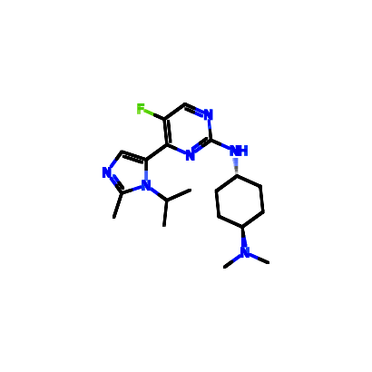 Cc1ncc(-c2nc(N[C@H]3CC[C@H](N(C)C)CC3)ncc2F)n1C(C)C